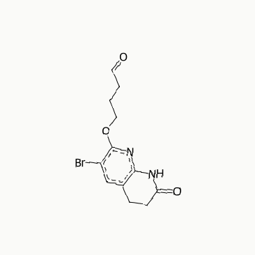 O=CCCCOc1nc2c(cc1Br)CCC(=O)N2